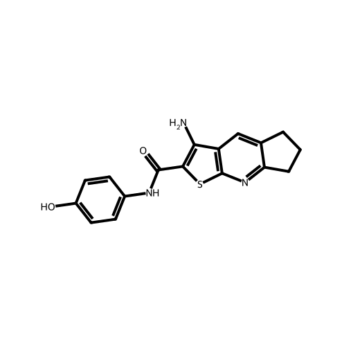 Nc1c(C(=O)Nc2ccc(O)cc2)sc2nc3c(cc12)CCC3